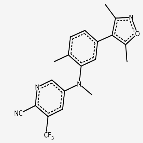 Cc1ccc(-c2c(C)noc2C)cc1N(C)c1cnc(C#N)c(C(F)(F)F)c1